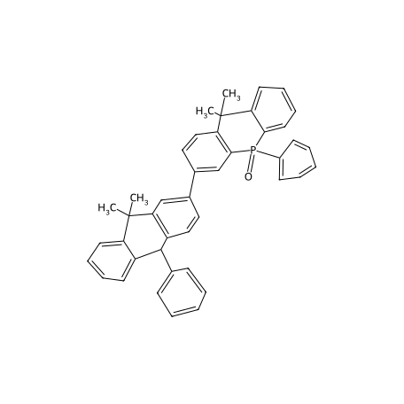 CC1(C)c2ccccc2C(c2ccccc2)c2ccc(-c3ccc4c(c3)P(=O)(c3ccccc3)c3ccccc3C4(C)C)cc21